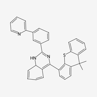 CC1(C)c2ccccc2Sc2c(C3=C4C=CC=CC4NC(c4cccc(-c5ccccn5)c4)=N3)cccc21